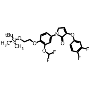 CC(C)(C)[Si](C)(C)OCCOc1ccc(N2CC=C(Oc3ccc(F)c(F)c3)C2=O)cc1OC(F)F